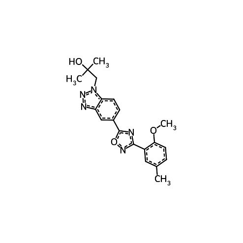 COc1ccc(C)cc1-c1noc(-c2ccc3c(c2)nnn3CC(C)(C)O)n1